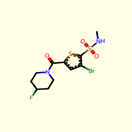 CNS(=O)(=O)c1sc(C(=O)N2CCC(F)CC2)cc1Br